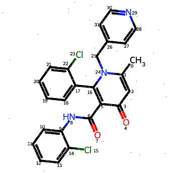 Cc1cc(=O)c(C(=O)Nc2ccccc2Cl)c(-c2ccccc2Cl)n1Cc1ccncc1